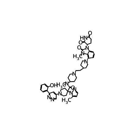 Cc1ccnn1C1(C(=O)N(C)C2CCN(CCC3CCN(c4cccc5c4n(C)c(=O)n5[C@@H]4CCC(=O)NC4=O)CC3)CC2)CCN(c2cnnc(-c3ccccc3O)c2)CC1